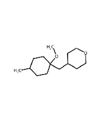 COC1(CC2CCOCC2)CCC(C)CC1